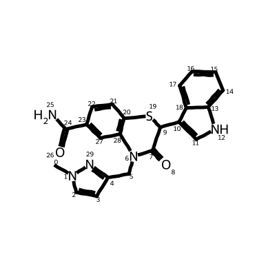 Cn1ccc(CN2C(=O)C(c3c[nH]c4ccccc34)Sc3ccc(C(N)=O)cc32)n1